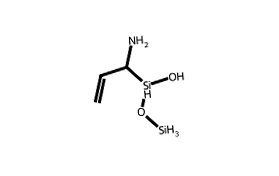 C=CC(N)[SiH](O)O[SiH3]